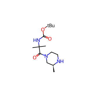 C[C@H]1CN(C(=O)C(C)(C)NC(=O)OC(C)(C)C)CCN1